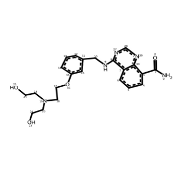 NC(=O)c1cccc2c(NCc3cccc(OCCN(CCO)CCO)c3)ncnc12